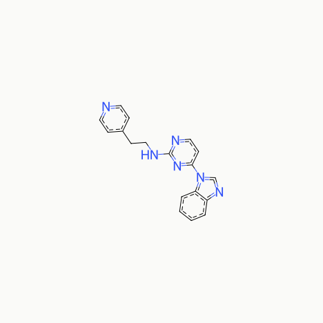 c1ccc2c(c1)ncn2-c1ccnc(NCCc2ccncc2)n1